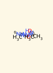 Cc1c(CNCC2=CC=CC2)ccc2nc(CNC(=O)c3cc(=O)n4c(n3)C(C(C)C)CC=C4)cn12